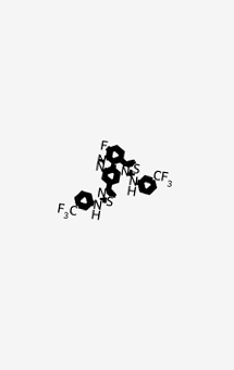 Fc1ccc(-c2csc(Nc3cccc(C(F)(F)F)c3)n2)cc1/N=N\c1cc(-c2csc(Nc3cccc(C(F)(F)F)c3)n2)ccc1F